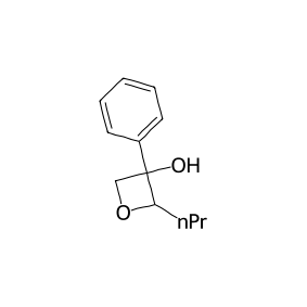 CCCC1OCC1(O)c1ccccc1